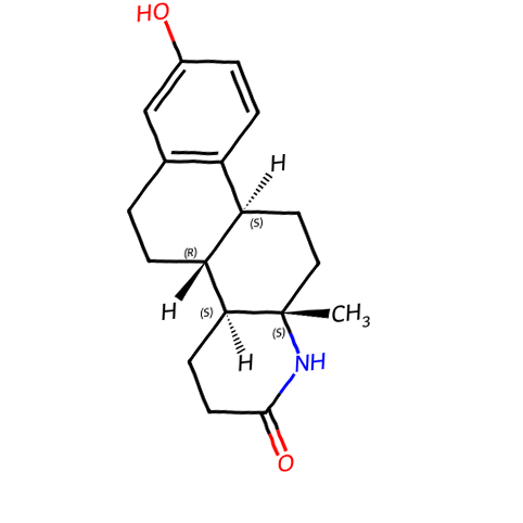 C[C@]12CC[C@@H]3c4ccc(O)cc4CC[C@H]3[C@@H]1CCC(=O)N2